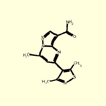 Cc1nsc(C)c1-c1cc(C)n2ncc(C(N)=O)c2n1